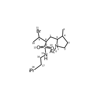 CC(=O)N1CCC(C)C1CC(C(C)Br)S(=O)(=O)NCCC(C)C